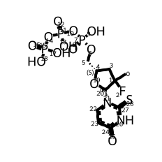 CC1(F)C[C@@H](COP(=O)(O)OP(=O)(O)OP(=O)(O)O)O[C@H]1n1ccc(=O)[nH]c1=S